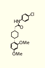 COc1ccc([C@H]2CC[C@@H](CC(=O)Nc3ccc(Cl)cc3)CC2)c(OC)c1